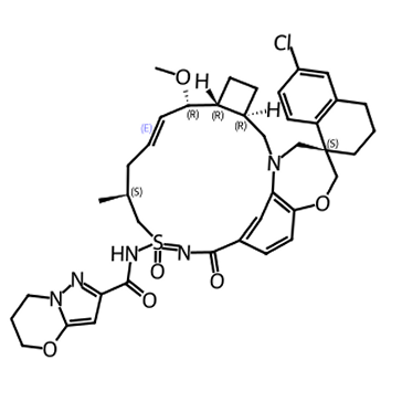 CO[C@H]1/C=C/C[C@H](C)CS(=O)(NC(=O)c2cc3n(n2)CCCO3)=NC(=O)c2ccc3c(c2)N(C[C@@H]2CC[C@H]21)C[C@@]1(CCCc2cc(Cl)ccc21)CO3